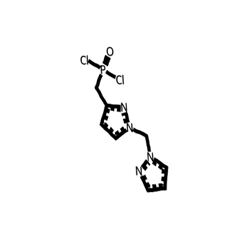 O=P(Cl)(Cl)Cc1ccn(Cn2cccn2)n1